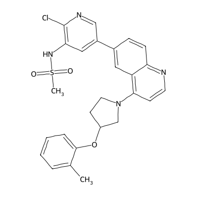 Cc1ccccc1OC1CCN(c2ccnc3ccc(-c4cnc(Cl)c(NS(C)(=O)=O)c4)cc23)C1